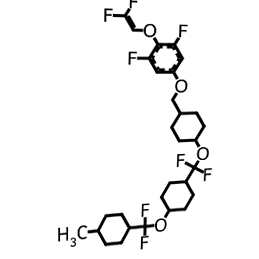 CC1CCC(C(F)(F)OC2CCC(C(F)(F)OC3CCC(COc4cc(F)c(OC=C(F)F)c(F)c4)CC3)CC2)CC1